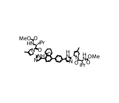 COC(=O)N[C@H](C(=O)N1CC(C)=C[C@H]1c1ncc(-c2ccc(-c3ccc(-c4cnc([C@@H]5C=C(C)CN5C(=O)[C@@H](NC(=O)OC)C(C)C)[nH]4)c4c3C3CCC4CC3)cc2)[nH]1)C(C)C